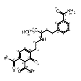 CC(CCc1cccc(C(N)=O)c1)NCCC1=CC=C(C(=O)C(C)C)C(C(=O)C(C)C)C1=O.Cl